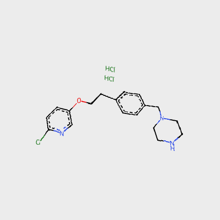 Cl.Cl.Clc1ccc(OCCc2ccc(CN3CCNCC3)cc2)cn1